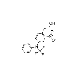 O=[N+]([O-])c1cc(N(c2ccccc2)C(F)(F)F)ccc1CCO